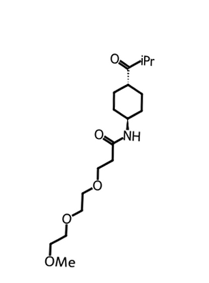 COCCOCCOCCC(=O)N[C@H]1CC[C@H](C(=O)C(C)C)CC1